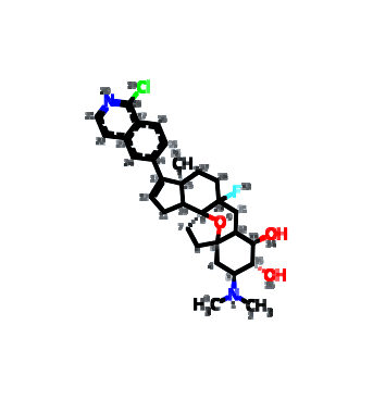 CN(C)[C@H]1C[C@@]23CC[C@]4(O2)C2CC=C(c5ccc6c(Cl)nccc6c5)[C@@]2(C)CCC4(F)CC3[C@@H](O)[C@@H]1O